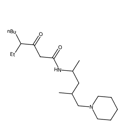 CCCCC(CC)C(=O)CC(=O)NC(C)CC(C)CN1CCCCC1